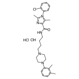 Cc1cccc(N2CCN(CCCCNC(=O)c3nc(C)n(-c4ccccc4Cl)c3C)CC2)c1C.Cl.Cl